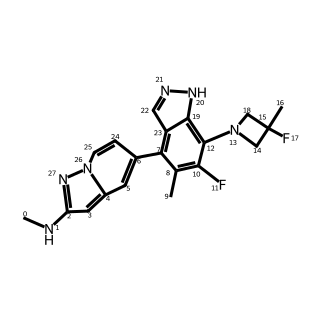 CNc1cc2cc(-c3c(C)c(F)c(N4CC(C)(F)C4)c4[nH]ncc34)ccn2n1